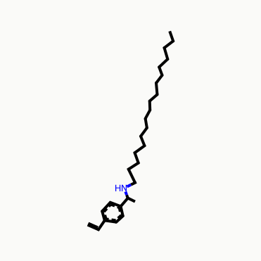 C=Cc1ccc(C(C)NCCCCCCCCCCCCCCCCCC)cc1